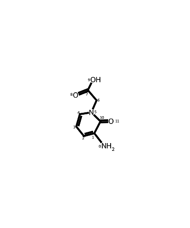 Nc1cccn(CC(=O)O)c1=O